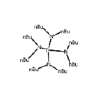 CCCC[N](CCCC)[Ti]([N](CCCC)CCCC)([N](CCCC)CCCC)[N](CCCC)CCCC